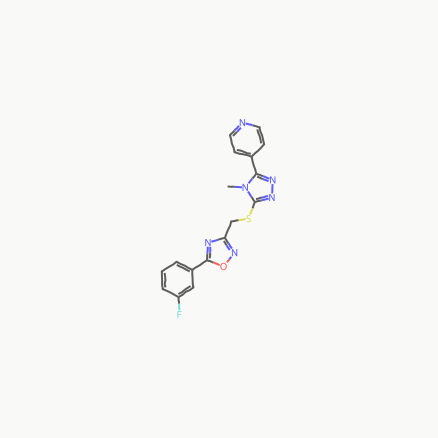 Cn1c(SCc2noc(-c3cccc(F)c3)n2)nnc1-c1ccncc1